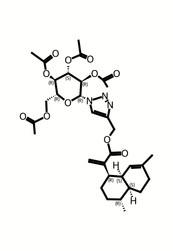 C=C(C(=O)OCc1cn([C@@H]2O[C@H](COC(C)=O)[C@@H](OC(C)=O)[C@H](OC(C)=O)[C@H]2OC(C)=O)nn1)[C@@H]1CC[C@@H](C)[C@@H]2CCC(C)=C[C@@H]21